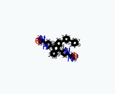 c1ccc(-c2cccc(-c3ccc4c(-c5ccc(-c6cocn6)nc5)c5ccccc5c(-c5ccc(-c6cocn6)nc5)c4c3)c2)cc1